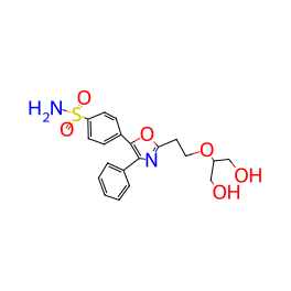 NS(=O)(=O)c1ccc(-c2oc(CCOC(CO)CO)nc2-c2ccccc2)cc1